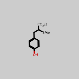 CCOC(=O)C(Cc1ccc(O)cc1)SC